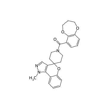 Cn1ncc2c1-c1ccccc1OC21CCN(C(=O)c2cccc3c2OCCCO3)CC1